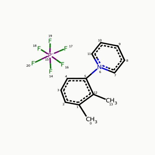 Cc1cccc(-[n+]2ccccc2)c1C.F[P-](F)(F)(F)(F)F